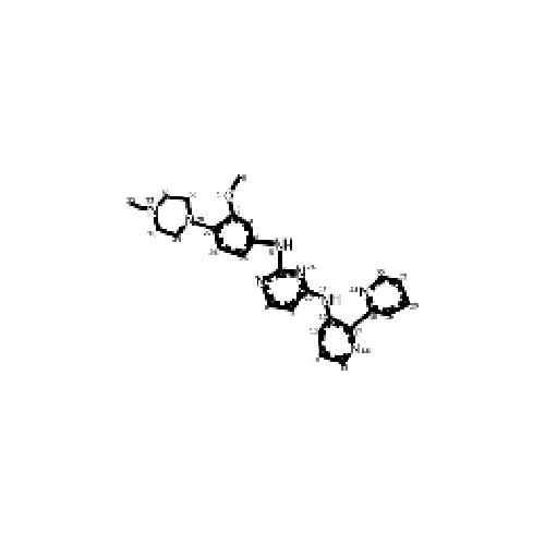 COc1cc(Nc2nccc(Nc3cccnc3-c3ccccn3)n2)ccc1N1CCN(C)CC1